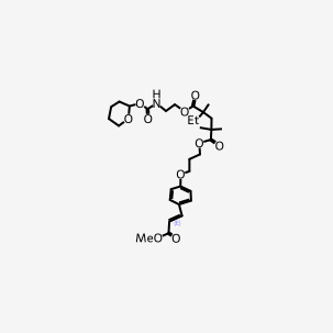 CCC(C)(CC(C)(C)C(=O)OCCCOc1ccc(/C=C/C(=O)OC)cc1)C(=O)OCCNC(=O)OC1CCCCO1